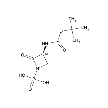 CC(C)(C)OC(=O)N[C@H]1CN(P(=O)(O)O)C1=O